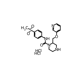 CS(=O)(=O)c1ccc(NC(=O)N2CCNCC2COc2cccnc2)cc1.Cl.Cl